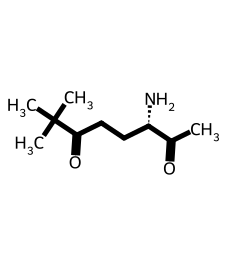 CC(=O)[C@@H](N)CCC(=O)C(C)(C)C